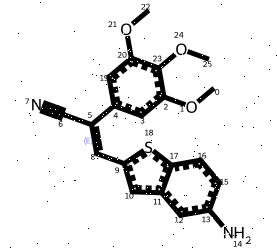 COc1cc(/C(C#N)=C\c2cc3cc(N)ccc3s2)cc(OC)c1OC